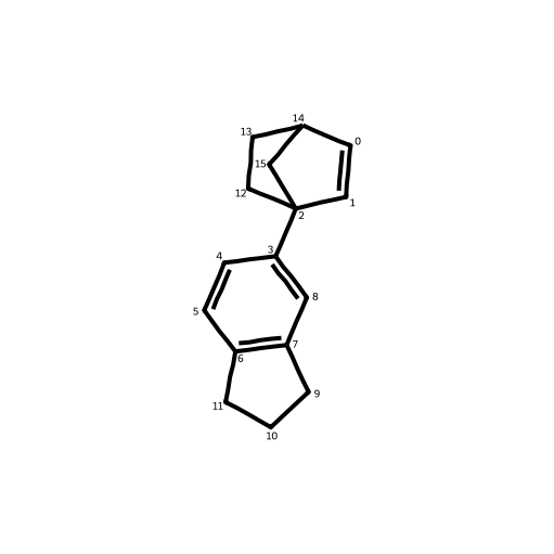 C1=CC2(c3ccc4c(c3)CCC4)CCC1C2